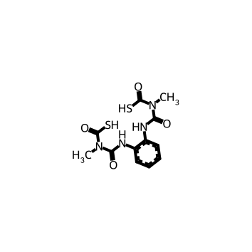 CN(C(=O)S)C(=O)Nc1ccccc1NC(=O)N(C)C(=O)S